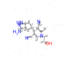 CC1=C(C#N)C(c2ccc3[nH]nc(N)c3c2)C(C#N)=C(C)N1CCO